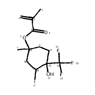 C=C(C)C(=O)OC1(C)CCC(O)(C(F)(F)F)C(I)C1